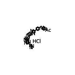 CC(=O)N1CCN(Cc2ccc(-c3cnc(N4CCOC(Cn5nnc6ncc(-c7cnn(C)c7)nc65)C4)nc3)cc2)CC1.Cl